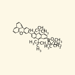 CC(C)(C)c1c2ccc(-c3ccc4c(c3)Oc3cccc5cccc-4c35)cc2c(C(C)(C)C)c2ccc(B3OC(C)(C)C(C)(C)O3)cc12